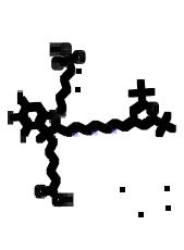 CC(C)(C)C1=CC(=C/C=C/C=C/C=C/C2=[N+](CCCCCS(=O)(=O)O)c3cc(I)c(I)c(I)c3C2(C)CCCCCC(=O)O)C=C(C(C)(C)C)O1